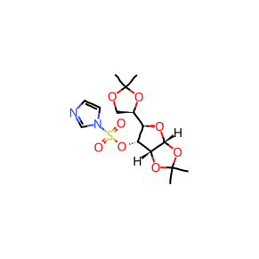 CC1(C)O[C@H]2O[C@H]([C@H]3COC(C)(C)O3)[C@@H](OS(=O)(=O)n3ccnc3)[C@H]2O1